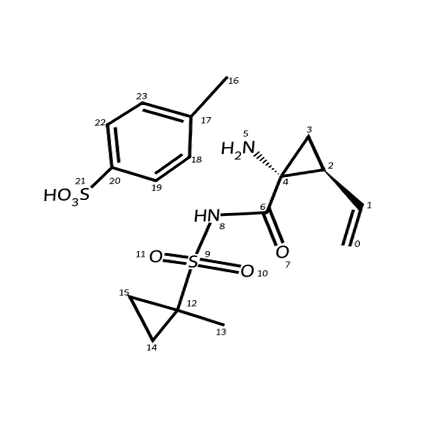 C=C[C@@H]1C[C@]1(N)C(=O)NS(=O)(=O)C1(C)CC1.Cc1ccc(S(=O)(=O)O)cc1